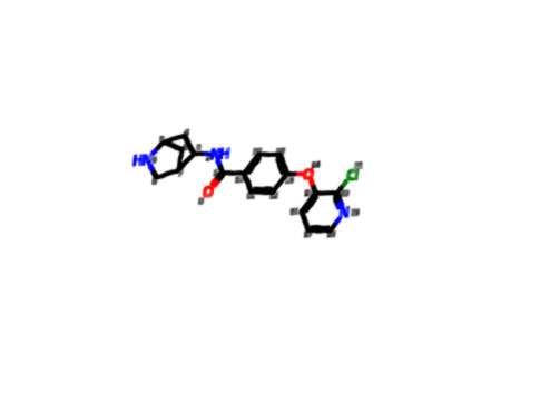 O=C(NC1CC2CC1CN2)c1ccc(Oc2cccnc2Cl)cc1